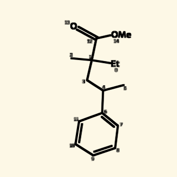 CCC(C)(CC(C)c1ccccc1)C(=O)OC